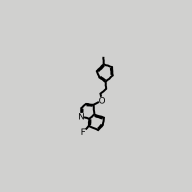 Cc1ccc(CCOc2ccnc3c(F)cccc23)cc1